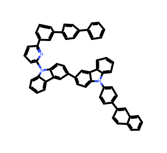 c1ccc(-c2ccc(-c3cccc(-c4cccc(-n5c6ccccc6c6cc(-c7ccc8c(c7)c7ccccc7n8-c7ccc(-c8ccc9ccccc9c8)cc7)ccc65)n4)c3)cc2)cc1